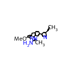 CC#Cc1cncc(-c2ccc3c(c2)[C@@]2(N=C(C)C(N)=N2)C2(CCC(OC)CC2)C3)c1